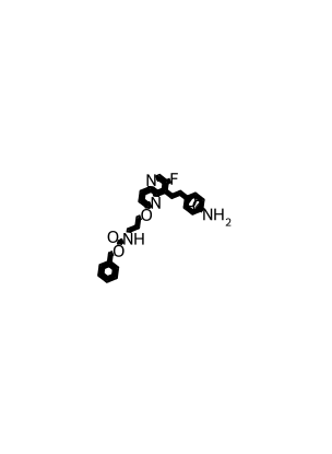 NC12CCC(CCc3c(F)cnc4ccc(OCCCNC(=O)OCc5ccccc5)nc34)(CC1)OC2